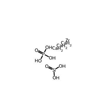 O=P(O)(O)O.O=[Si](O)O.[CaH2].[CaH2].[CaH2].[Zr]